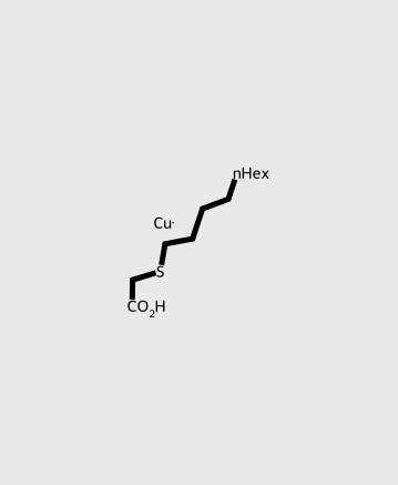 CCCCCCCCCCSCC(=O)O.[Cu]